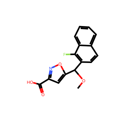 COC(c1cc(C(=O)O)no1)c1ccc2ccccc2c1F